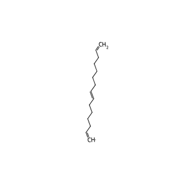 [CH]=CCCCCC=CCCCCCC=C